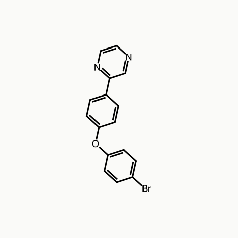 Brc1ccc(Oc2ccc(-c3cnccn3)cc2)cc1